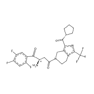 N[C@H](CC(=O)N1CCn2c(C(F)(F)F)nc(C(=O)C3CCCC3)c2C1)C(=O)c1cc(F)c(F)cc1F